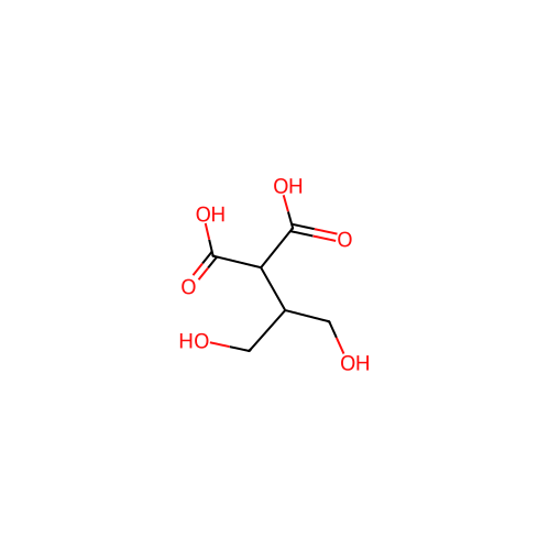 O=C(O)C(C(=O)O)C(CO)CO